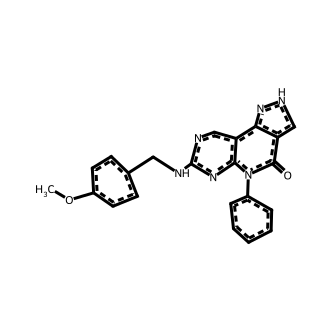 COc1ccc(CNc2ncc3c4n[nH]cc4c(=O)n(-c4ccccc4)c3n2)cc1